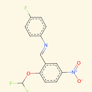 O=[N+]([O-])c1ccc(OC(F)F)c(C=Nc2ccc(F)cc2)c1